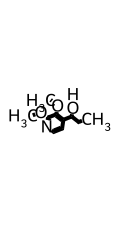 CCC(O)c1ccnc(OC)c1OC